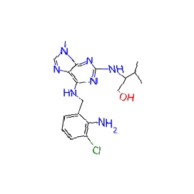 CC(C)C(CO)Nc1nc(NCc2cccc(Cl)c2N)c2ncn(C)c2n1